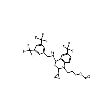 O=COCCCN1c2ccc(C(F)(F)F)cc2C(NCc2cc(C(F)(F)F)cc(C(F)(F)F)c2)CC1C1CC1